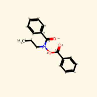 CCCN(OC(=O)c1ccccc1)C(=O)c1ccccc1